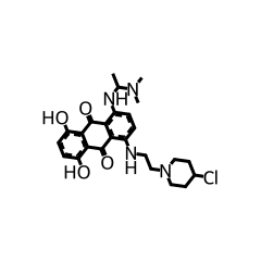 CC(Nc1ccc(NCCN2CCC(Cl)CC2)c2c1C(=O)c1c(O)ccc(O)c1C2=O)N(C)C